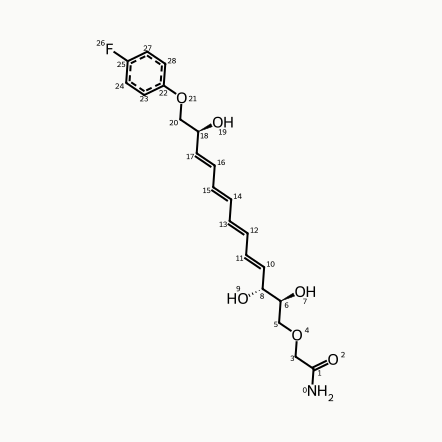 NC(=O)COC[C@H](O)[C@H](O)C=CC=CC=CC=C[C@H](O)COc1ccc(F)cc1